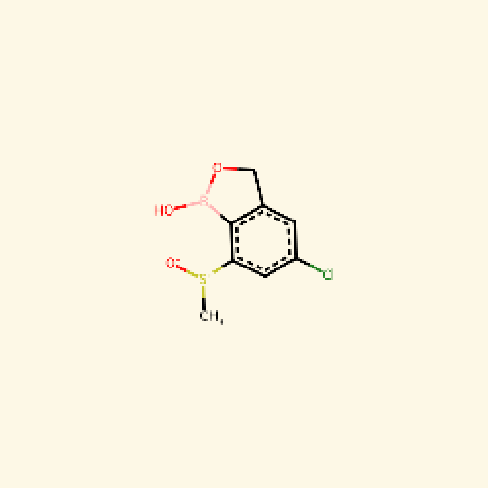 C[S+]([O-])c1cc(Cl)cc2c1B(O)OC2